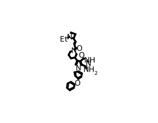 CCN1CCC1/C=C/C(=O)N1CCCC(c2cn(-c3ccc(Oc4ccccc4)cc3)c3c(N)n[nH]c(=O)c23)C1